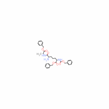 C[C@@H](NC(=O)[C@H](N)CCCC(NC(=O)OCc1ccccc1)C(=O)OCc1ccccc1)C(=O)OCc1ccccc1